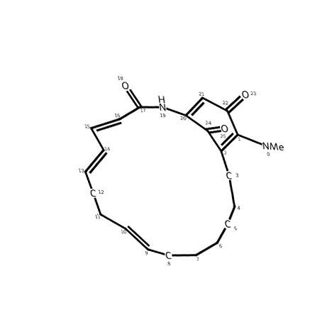 CNC1=C2CCCCCC/C=C/[CH]C/C=C/C=C/C(=O)NC(=CC1=O)C2=O